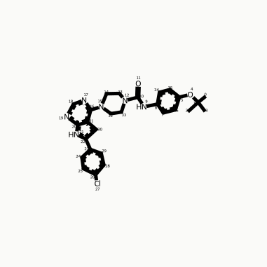 CC(C)(C)Oc1ccc(NC(=O)N2CCN(c3ncnc4[nH]c(-c5ccc(Cl)cc5)cc34)CC2)cc1